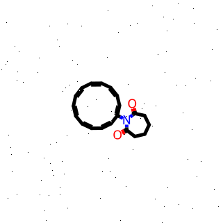 O=C1CCCCC(=O)N1c1ccccccccccccc1